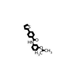 CC(C)Oc1cccc(NC(=O)c2ccc(-c3cccs3)cc2)c1